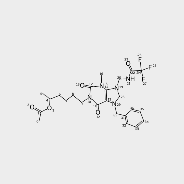 CC(=O)OC(C)CCCCn1c(=O)c2c(n(C)c1=O)N(CNC(=O)C(F)(F)F)CN2Cc1ccccc1